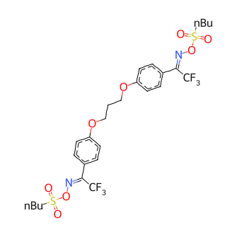 CCCCS(=O)(=O)O/N=C(/c1ccc(OCCCOc2ccc(/C(=N/OS(=O)(=O)CCCC)C(F)(F)F)cc2)cc1)C(F)(F)F